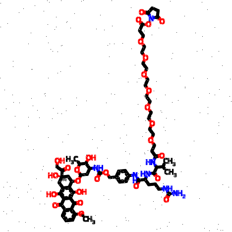 COc1cccc2c1C(=O)c1c(O)c3c(c(O)c1C2=O)C[C@@](O)(C(=O)CO)CC3OC1CC(NC(=O)OCc2ccc(NC(=O)C(CCCNC(N)=O)NC(=O)C(NC(=O)CCOCCOCCOCCOCCOCCOCCOCCC(=O)ON3C(=O)CCC3=O)C(C)C)cc2)C(O)C(C)O1